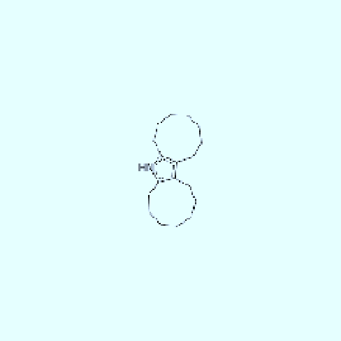 C1CCCc2[nH]c3c(c2CCC1)CCCCCCC3